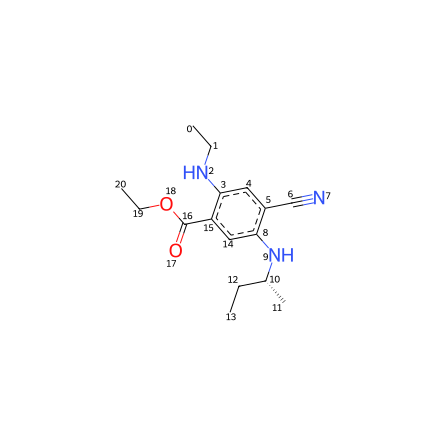 CCNc1cc(C#N)c(N[C@H](C)CC)cc1C(=O)OCC